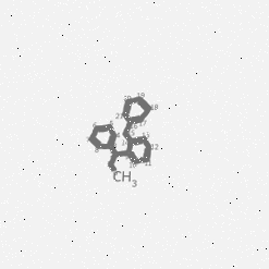 CCC(c1ccccc1)c1ccccc1Cc1ccccc1